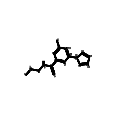 COCNC(=O)c1cc(C)nc(-n2ccnc2)n1